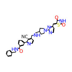 N#Cc1c(CNCC2CCN(c3nccc(/C=C4\SC(=O)NC4=O)n3)CC2)ccnc1-c1cccc(C(=O)NCc2ccccc2)c1